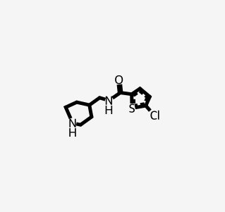 O=C(NCC1CCNCC1)c1ccc(Cl)s1